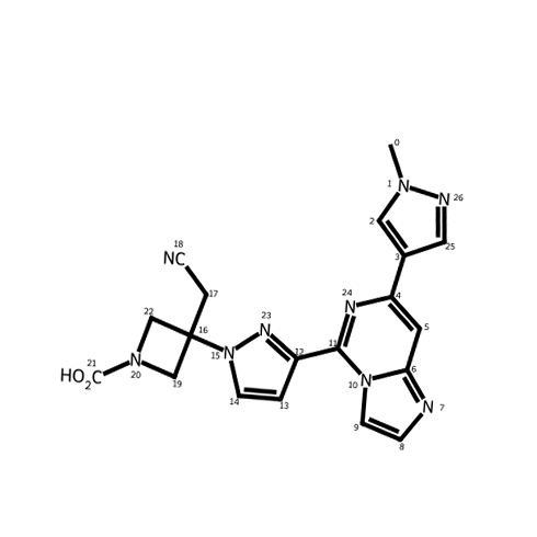 Cn1cc(-c2cc3nccn3c(-c3ccn(C4(CC#N)CN(C(=O)O)C4)n3)n2)cn1